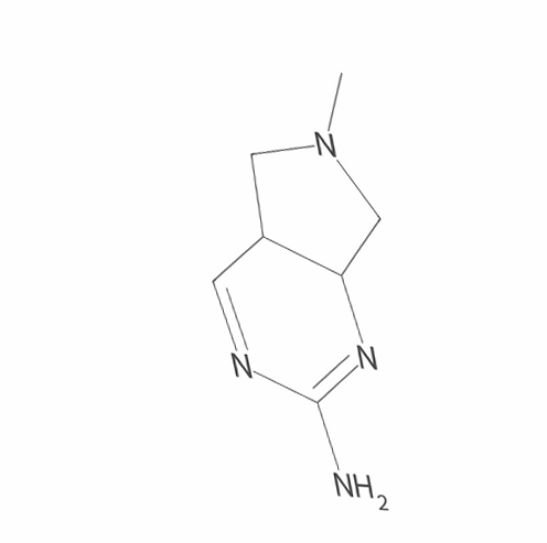 CN1CC2C=NC(N)=NC2C1